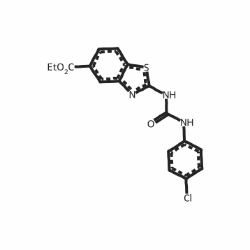 CCOC(=O)c1ccc2sc(NC(=O)Nc3ccc(Cl)cc3)nc2c1